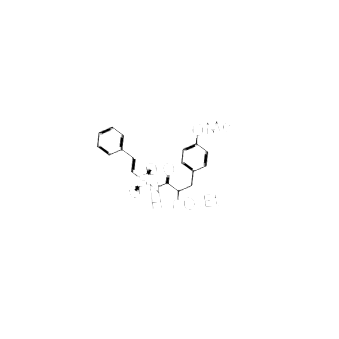 CCOC(=O)C(Cc1ccc(OC)cc1)C(=O)NS(=O)(=O)C=Cc1ccccc1